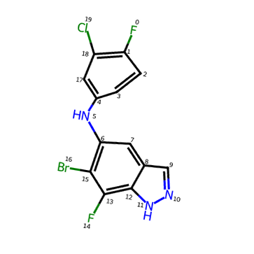 Fc1ccc(Nc2cc3cn[nH]c3c(F)c2Br)cc1Cl